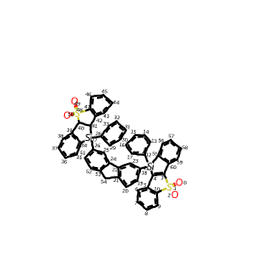 O=S1(=O)C2=C(c3ccccc31)[Si](c1ccccc1)(c1ccc3c(c1)-c1cc([Si]4(c5ccccc5)c5ccccc5C5C4c4ccccc4S5(=O)=O)ccc1C3)c1ccccc12